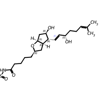 CC(C)=CCC[C@H](O)/C=C/[C@@H]1[C@H]2C[C@@H](CCCCC(=O)NS(=O)(=O)C(C)C)O[C@H]2C[C@H]1O